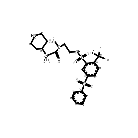 CN(CCNS(=O)(=O)c1cc(S(=O)(=O)c2ccccc2)ccc1C(F)(F)F)C(=O)N(C)C1CCNCC1